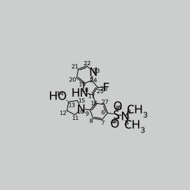 CN(C)S(=O)(=O)c1ccc(N2CC[C@H](O)C2)c(-c2[nH]c3cccnc3c2F)c1